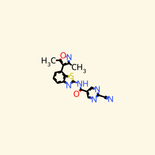 Cc1noc(C)c1-c1cccc2nc(NC(=O)c3cnc(C#N)nc3)sc12